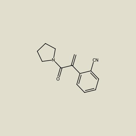 C=C(C(=O)N1CCCC1)c1ccccc1C#N